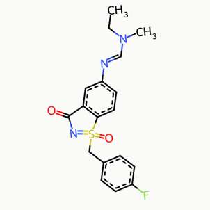 CCN(C)/C=N/c1ccc2c(c1)C(=O)N=S2(=O)Cc1ccc(F)cc1